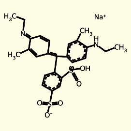 CCN=C1C=C/C(=C(\c2ccc(NCC)c(C)c2)c2ccc(S(=O)(=O)[O-])cc2S(=O)(=O)O)C=C1C.[Na+]